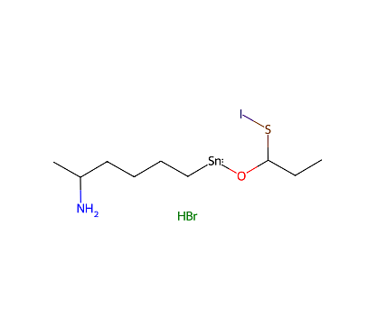 Br.CCC([O][Sn][CH2]CCCC(C)N)SI